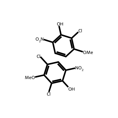 COc1c(Cl)cc([N+](=O)[O-])c(O)c1Cl.COc1ccc([N+](=O)[O-])c(O)c1Cl